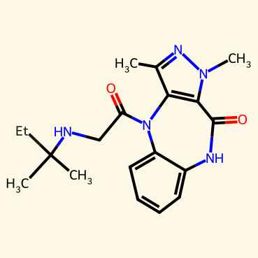 CCC(C)(C)NCC(=O)N1c2ccccc2NC(=O)c2c1c(C)nn2C